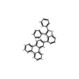 c1ccc(-c2sc3cccc(-c4ccc5c6ccccc6c6ccccc6c5c4)c3c2-c2ccccc2)cc1